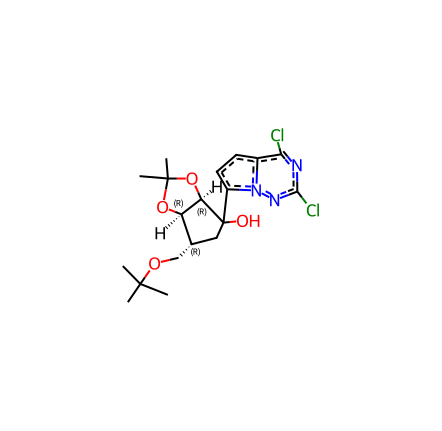 CC(C)(C)OC[C@H]1CC(O)(c2ccc3c(Cl)nc(Cl)nn23)[C@@H]2OC(C)(C)O[C@H]12